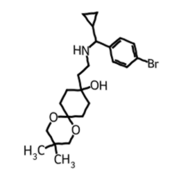 CC1(C)COC2(CCC(O)(CCNC(c3ccc(Br)cc3)C3CC3)CC2)OC1